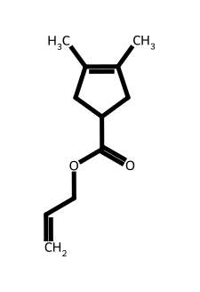 C=CCOC(=O)C1CC(C)=C(C)C1